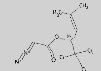 CC(C)=C[C@@H](OC(=O)C=[N+]=[N-])C(Cl)(Cl)Cl